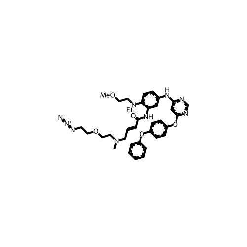 CCN(CCOC)c1ccc(Nc2cc(Oc3ccc(Oc4ccccc4)cc3)ncn2)cc1NC(=O)/C=C/CN(C)CCOCCN=[N+]=[N-]